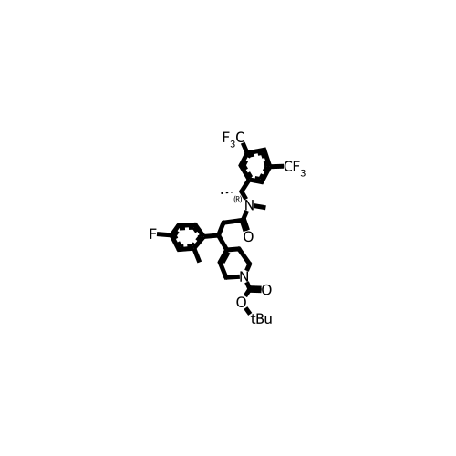 Cc1cc(F)ccc1C(CC(=O)N(C)[C@H](C)c1cc(C(F)(F)F)cc(C(F)(F)F)c1)C1=CCN(C(=O)OC(C)(C)C)CC1